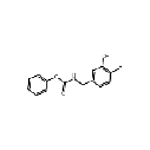 O=C(NCc1ccc(F)c(O)c1)Oc1ccccc1